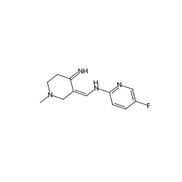 CN1CCC(=N)/C(=C\Nc2ccc(F)cn2)C1